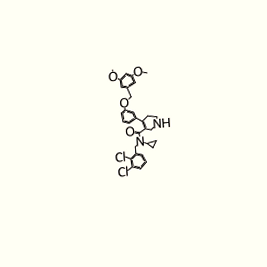 COc1cc(COc2cccc(C3=C(C(=O)N(Cc4cccc(Cl)c4Cl)C4CC4)CNCC3)c2)cc(OC)c1